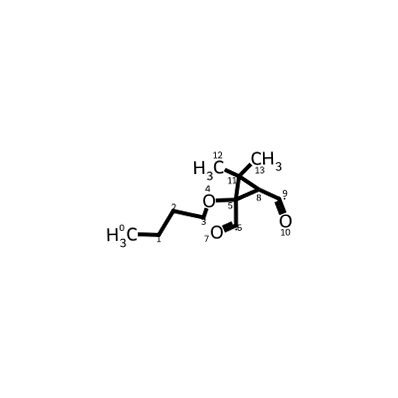 CCCCOC1([C]=O)C([C]=O)C1(C)C